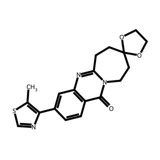 Cc1scnc1-c1ccc2c(=O)n3c(nc2c1)CCC1(CC3)OCCO1